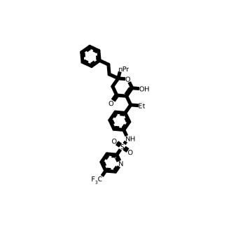 CCCC1(CCc2ccccc2)CC(=O)C(C(CC)c2cccc(NS(=O)(=O)c3ccc(C(F)(F)F)cn3)c2)=C(O)O1